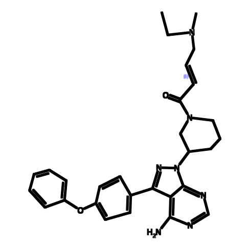 CCN(C)C/C=C/C(=O)N1CCCC(n2nc(-c3ccc(Oc4ccccc4)cc3)c3c(N)ncnc32)C1